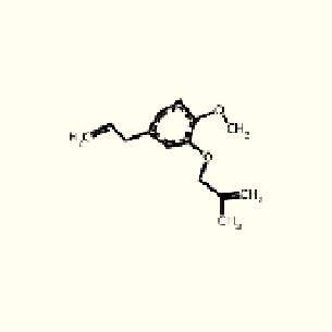 C=CCc1ccc(OC)c(OCC(=C)C)c1